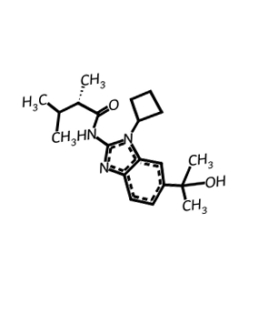 CC(C)[C@H](C)C(=O)Nc1nc2ccc(C(C)(C)O)cc2n1C1CCC1